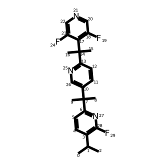 CC(C)c1ccc(C(C)(C)c2ccc(C(C)(C)c3c(F)cncc3F)nc2)nc1F